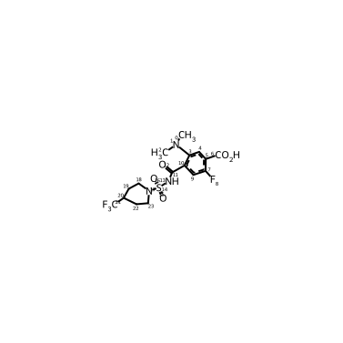 CN(C)c1cc(C(=O)O)c(F)cc1C(=O)NS(=O)(=O)N1CCC(C(F)(F)F)CC1